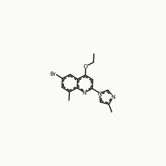 CCOc1cc(-n2cnc(C)c2)nc2c(C)cc(Br)cc12